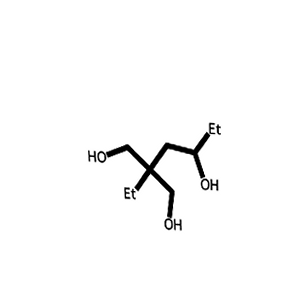 CCC(O)CC(CC)(CO)CO